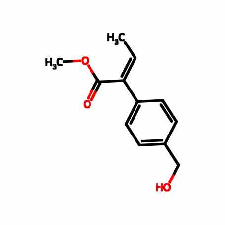 CC=C(C(=O)OC)c1ccc(CO)cc1